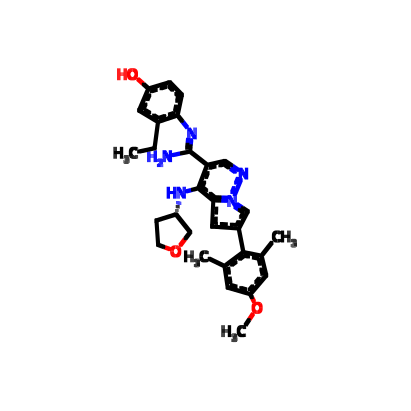 CCc1cc(O)ccc1/N=C(\N)c1cnn2cc(-c3c(C)cc(OC)cc3C)cc2c1N[C@H]1CCOC1